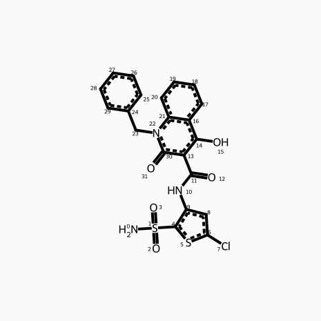 NS(=O)(=O)c1sc(Cl)cc1NC(=O)c1c(O)c2ccccc2n(Cc2ccccc2)c1=O